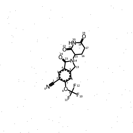 N#Cc1cc2c(cc1OC(F)(F)F)CN(C1CCC(=O)NC1=O)C2=O